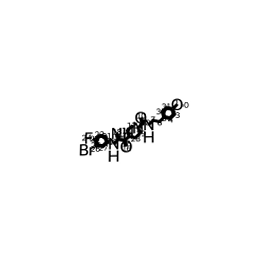 COc1ccc(CCNC(=O)N2CCC(C(=O)C(=N)Nc3ccc(F)c(Br)c3)CC2)cc1